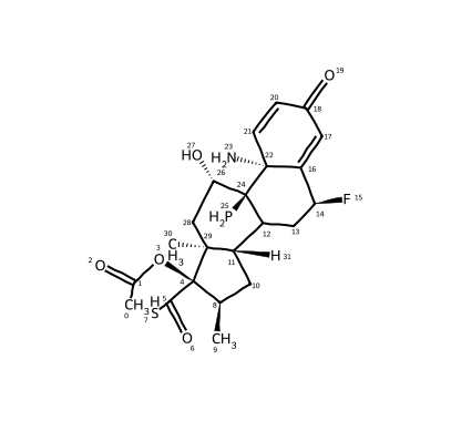 CC(=O)O[C@]1(C(=O)S)[C@H](C)C[C@H]2C3C[C@H](F)C4=CC(=O)C=C[C@]4(N)[C@@]3(P)[C@@H](O)C[C@@]21C